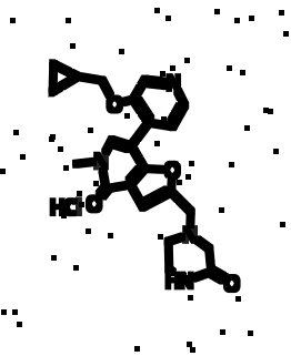 Cl.Cn1cc(-c2ccncc2OCC2CC2)c2oc(CN3CCNC(=O)C3)cc2c1=O